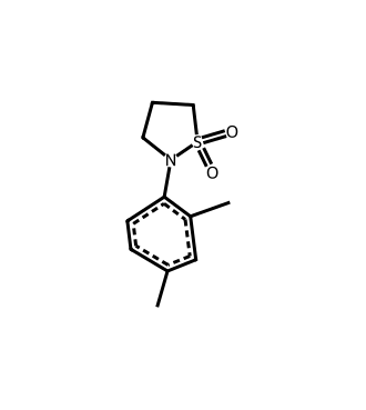 Cc1ccc(N2CCCS2(=O)=O)c(C)c1